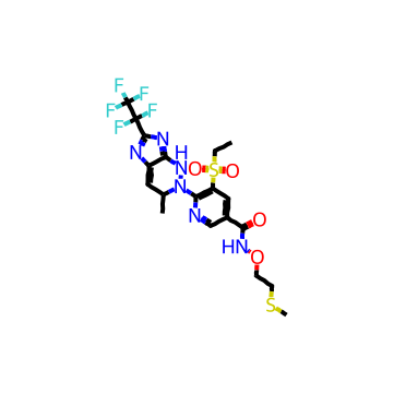 CCS(=O)(=O)c1cc(C(=O)NOCCSC)cnc1N1NC2=NC(C(F)(F)C(F)(F)F)=NC2=CC1C